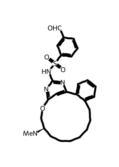 CN[C@@H]1CCCCCCCc2ccccc2-c2cc(nc(NS(=O)(=O)c3cccc(C=O)c3)n2)OC1